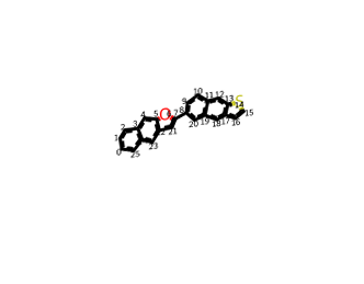 c1ccc2cc3oc(-c4ccc5cc6sccc6cc5c4)cc3cc2c1